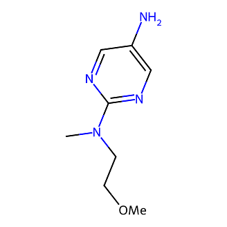 COCCN(C)c1ncc(N)cn1